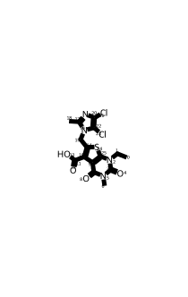 CCn1c(=O)n(C)c(=O)c2c(C(=O)O)c(Cn3c(C)nc(Cl)c3Cl)sc21